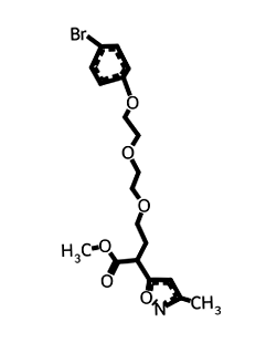 COC(=O)C(CCOCCOCCOc1ccc(Br)cc1)c1cc(C)no1